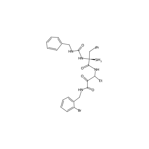 CCC(NC(=O)[C@@]([SiH3])(CC(C)C)NC(=O)NCc1ccccc1)C(=O)C(=O)NCc1ccccc1Br